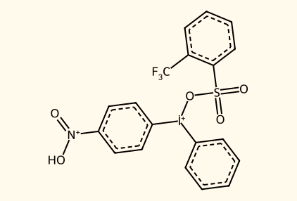 O=[N+](O)c1ccc([I+](OS(=O)(=O)c2ccccc2C(F)(F)F)c2ccccc2)cc1